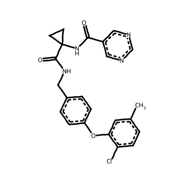 Cc1ccc(Cl)c(Oc2ccc(CNC(=O)C3(NC(=O)c4cncnc4)CC3)cc2)c1